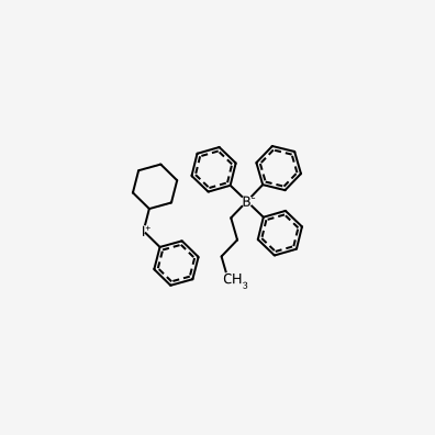 CCCC[B-](c1ccccc1)(c1ccccc1)c1ccccc1.c1ccc([I+]C2CCCCC2)cc1